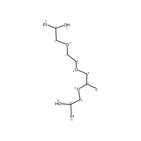 CCC(O)COCCOCC(C)OCC(O)CC